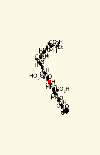 CCC(=O)NCC(=O)N(CC(=O)O)CC(=O)NCC(=O)NCC(=O)N(CC(=O)O)CC(=O)NCCNC(=O)CN(CC(=O)O)C(=O)CNC(=O)CNC(=O)CN(CC(=O)O)C(=O)CNC(=O)CNC(=O)CCN1C(=O)CCC1=O